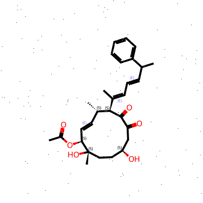 CC(=O)O[C@H]1/C=C/[C@H](C)[C@@H](/C(C)=C/C=C/C(C)c2ccccc2)C(=O)C(=O)C[C@@H](O)CC[C@]1(C)O